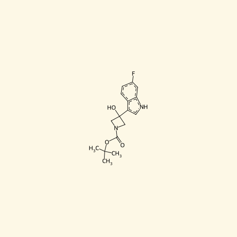 CC(C)(C)OC(=O)N1CC(O)(c2c[nH]c3cc(F)ccc23)C1